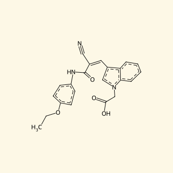 CCOc1ccc(NC(=O)C(C#N)=Cc2cn(CC(=O)O)c3ccccc23)cc1